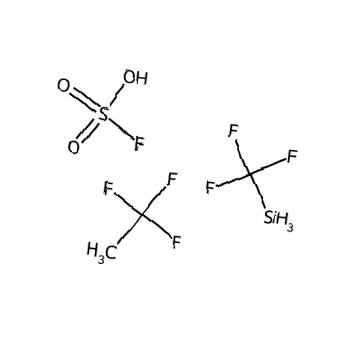 CC(F)(F)F.FC(F)(F)[SiH3].O=S(=O)(O)F